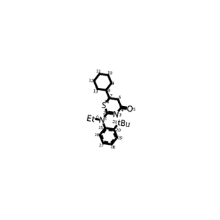 CCN(C1=NC(=O)CC(C2CCCCC2)S1)c1ccccc1C(C)(C)C